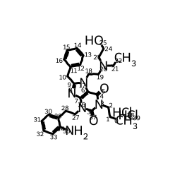 CCCn1c(=O)c2c(nc(Cc3ccccc3)n2CCN(CC)CCO)n(CCc2ccccc2N)c1=O.Cl.Cl